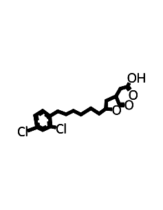 O=C(O)CC1CC(CCCCCCc2ccc(Cl)cc2Cl)OC1=O